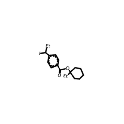 CCC(I)c1ccc(C(=O)OC2(CC)CCCCC2)cc1